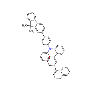 CC1(C)c2ccccc2-c2ccc(-c3ccc(N(c4ccccc4)c4ccccc4-c4cccc(-c5cccc6ccccc56)c4)cc3)cc21